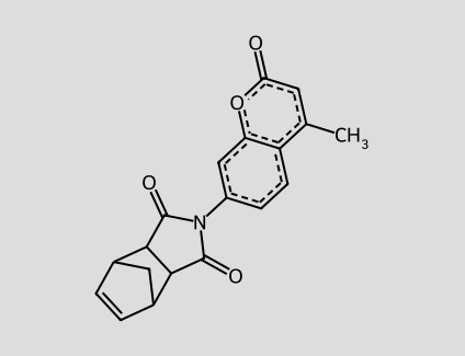 Cc1cc(=O)oc2cc(N3C(=O)C4C5C=CC(C5)C4C3=O)ccc12